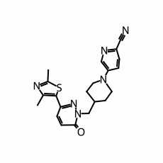 Cc1nc(C)c(-c2ccc(=O)n(CC3CCN(c4ccc(C#N)nc4)CC3)n2)s1